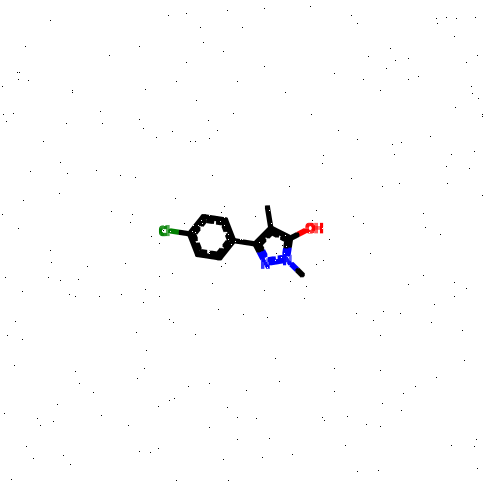 Cc1c(-c2ccc(Cl)cc2)nn(C)c1O